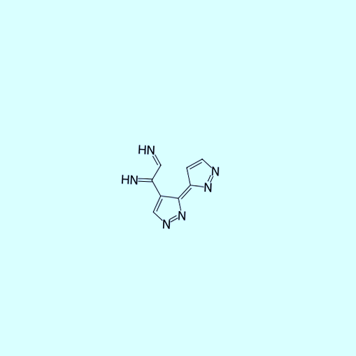 N=CC(=N)C1=CN=NC1=C1C=CN=N1